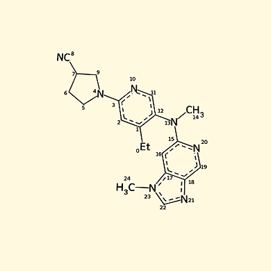 CCc1cc(N2CCC(C#N)C2)ncc1N(C)c1cc2c(cn1)ncn2C